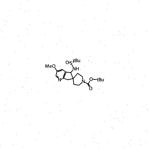 COc1cnc2c(c1)C(N[S+]([O-])C(C)(C)C)C1(CCN(C(=O)OC(C)(C)C)CC1)C2